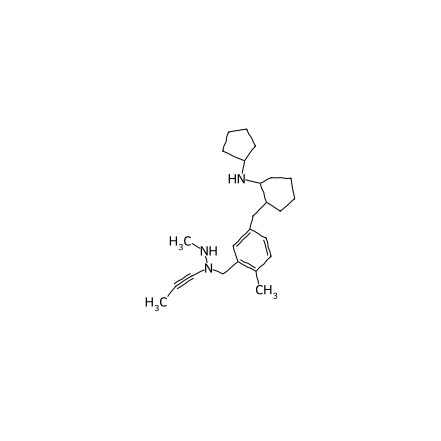 CC#CN(Cc1cc(CC2CCCCC2NC2CCCC2)ccc1C)NC